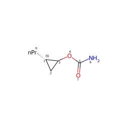 CCC[C@H]1CC1OC(N)=O